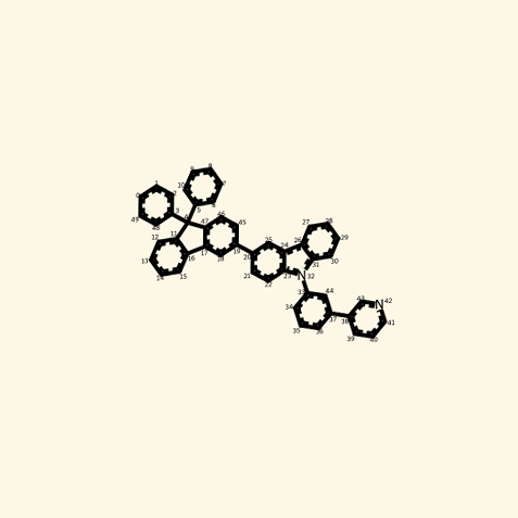 c1ccc(C2(c3ccccc3)c3ccccc3-c3cc(-c4ccc5c(c4)c4ccccc4n5-c4cccc(-c5cccnc5)c4)ccc32)cc1